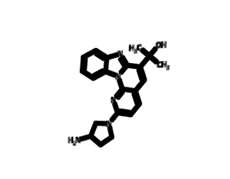 CC(C)(O)c1cc2ccc(N3CCC(N)C3)nc2n2c1nc1ccccc12